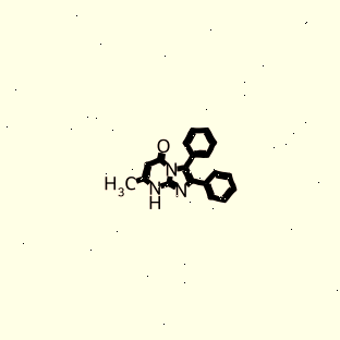 Cc1cc(=O)n2c(-c3ccccc3)c(-c3ccccc3)nc2[nH]1